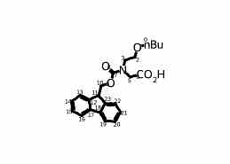 CCCCOCCN(CC(=O)O)C(=O)OCC1c2ccccc2-c2ccccc21